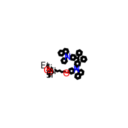 CC[Si](=O)C[Si](C)(CCCCCOc1ccc(N(c2ccc([Si](c3ccccc3)(c3ccccc3)c3ccc(N(c4ccccc4)c4cccc5ccccc45)cc3)cc2)c2cccc3ccccc23)cc1)O[Si](C)(C)C